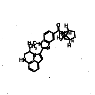 CC1CNc2cccc3cc(-c4nc5cc(C(=O)N6C[C@H]7CC[C@@H]6[C@@H]7N)ccc5n4C)n1c23